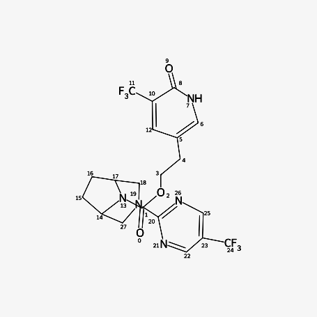 O=C(OCCc1c[nH]c(=O)c(C(F)(F)F)c1)N1C2CCC1CN(c1ncc(C(F)(F)F)cn1)C2